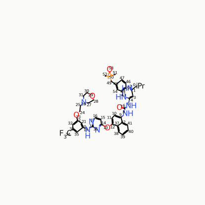 CC(C)C(=N)/C=C(/NC(=O)Nc1ccc(Oc2ccnc(Nc3cc(OCCN4CCOCC4)cc(C(F)(F)F)c3)n2)c2ccccc12)Nc1cccc(CP(C)(C)=O)c1